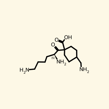 NCCCC[C@H](N)C(=O)C1(C(=O)O)CCC(CN)CC1